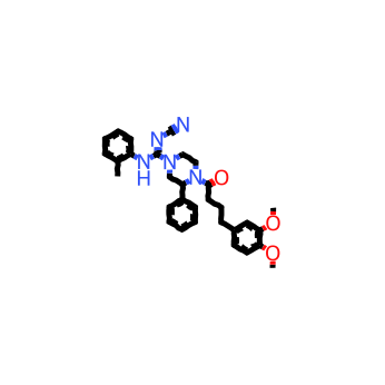 COc1ccc(CCCC(=O)N2CCN(/C(=N\C#N)Nc3ccccc3C)CC2c2ccccc2)cc1OC